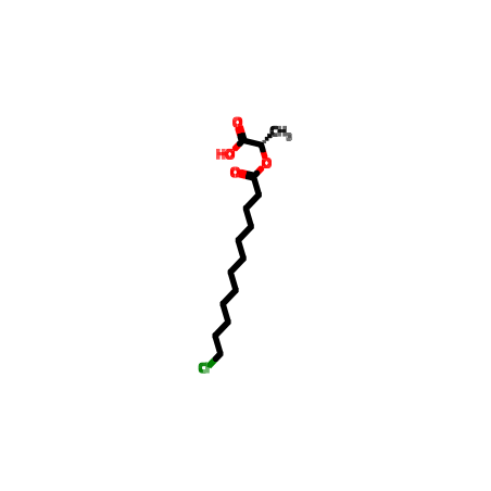 C[C@H](OC(=O)CCCCCCCCCCCCl)C(=O)O